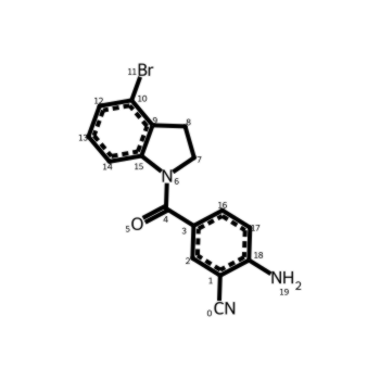 N#Cc1cc(C(=O)N2CCc3c(Br)cccc32)ccc1N